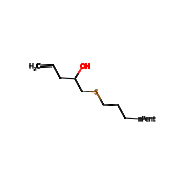 C=CCC(O)CSCCCCCCCC